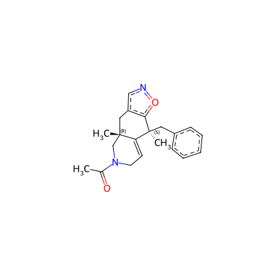 CC(=O)N1CC=C2[C@@](C)(Cc3cnoc3[C@@]2(C)Cc2ccccc2)C1